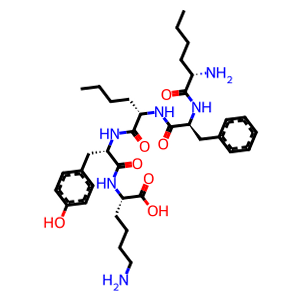 CCCC[C@H](NC(=O)[C@H](Cc1ccccc1)NC(=O)[C@@H](N)CCCC)C(=O)N[C@@H](Cc1ccc(O)cc1)C(=O)N[C@@H](CCCCN)C(=O)O